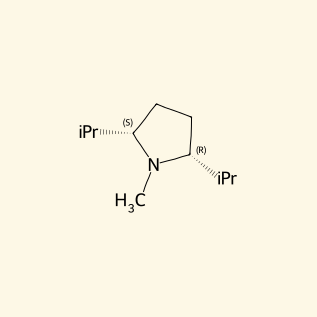 CC(C)[C@H]1CC[C@@H](C(C)C)N1C